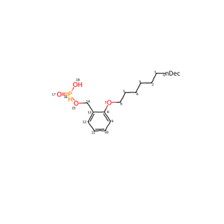 CCCCCCCCCCCCCCCCOc1ccccc1CO[PH](=O)O